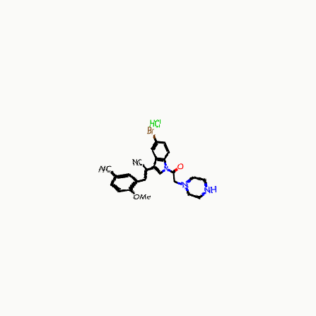 COc1ccc(C#N)cc1/C=C(\C#N)c1cn(C(=O)CN2CCNCC2)c2ccc(Br)cc12.Cl